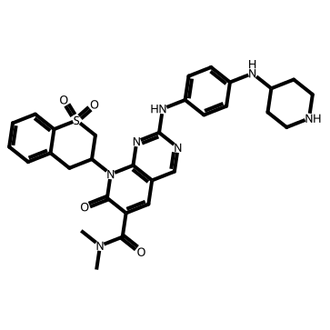 CN(C)C(=O)c1cc2cnc(Nc3ccc(NC4CCNCC4)cc3)nc2n(C2Cc3ccccc3S(=O)(=O)C2)c1=O